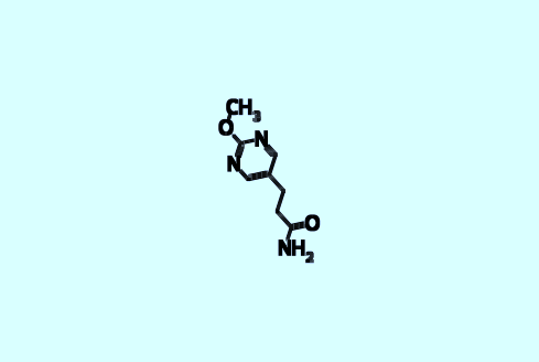 COc1ncc(CCC(N)=O)cn1